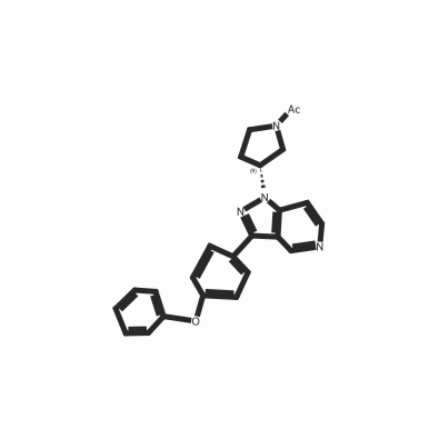 CC(=O)N1CC[C@@H](n2nc(-c3ccc(Oc4ccccc4)cc3)c3cnccc32)C1